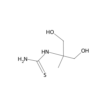 CC(CO)(CO)NC(N)=S